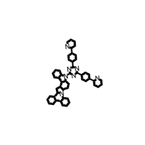 c1ccc(-c2ccc(-c3nc(-c4ccc(-c5ccccn5)cc4)nc(-n4c5ccccc5c5c6cc7c8ccccc8c8ccccc8n7c6ccc54)n3)cc2)nc1